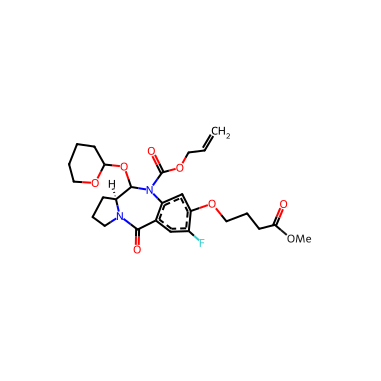 C=CCOC(=O)N1c2cc(OCCCC(=O)OC)c(F)cc2C(=O)N2CCC[C@H]2C1OC1CCCCO1